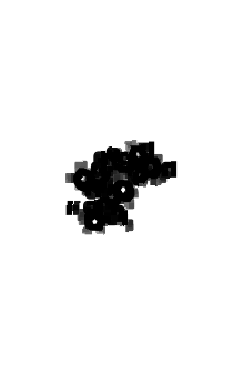 CC1(C)C2CCC1(C)C(OC(=O)c1ccc(N(Cc3cc(Cl)cc(Cl)c3O)C(C=C=O)C3CC4CCC3(C)C4(C)C)cc1OC(C=C=O)C1CC3CCC1(C)C3(C)C)C2